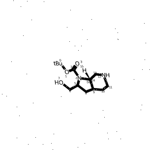 CC(C)(C)OC(=O)N1C(CO)CC2CCNC[C@H]21